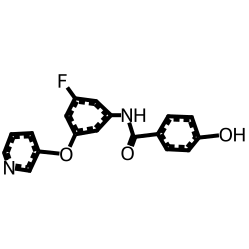 O=C(Nc1cc(F)cc(Oc2cccnc2)c1)c1ccc(O)cc1